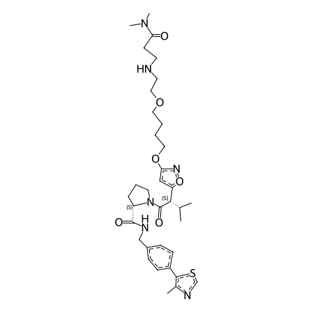 Cc1ncsc1-c1ccc(CNC(=O)[C@@H]2CCCN2C(=O)[C@H](c2cc(OCCCCOCCNCCC(=O)N(C)C)no2)C(C)C)cc1